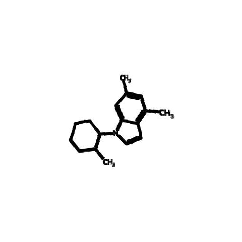 Cc1cc(C)c2ccn(C3CCCCC3C)c2c1